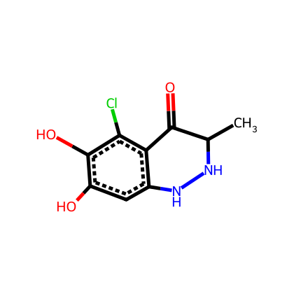 CC1NNc2cc(O)c(O)c(Cl)c2C1=O